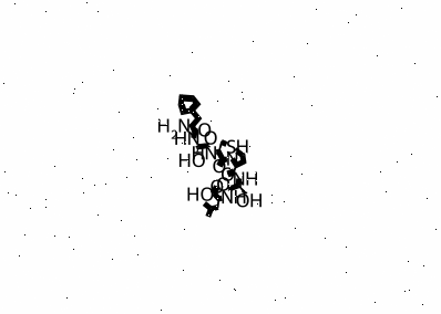 CC(C)C[C@H](NC(=O)[C@H](CO)NC(=O)[C@@H]1CCCN1C(=O)[C@H](CS)NC(=O)[C@H](CO)NC(=O)[C@@H](N)Cc1ccccc1)C(=O)O